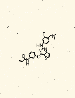 C=CC(=O)Nc1cccc(Oc2nc(Nc3ccc(CN(C)C)c(F)c3)nc3ccsc23)c1